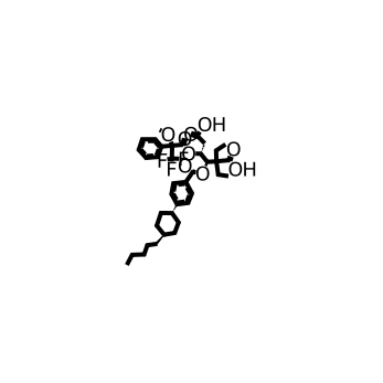 CCCCC[C@H]1CC[C@H](c2ccc(C(=O)O[C@@H]([C@@H](CC(=O)O)OC(=O)C(OC)(c3ccccc3)C(F)(F)F)C(CC)(CC)C(=O)O)cc2)CC1